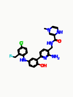 CN1C=CNC(C(=O)NCc2ccc(-c3cc(Nc4ccc(Cl)cc4CF)ccc3O)nc2N)=C1